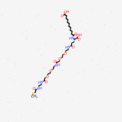 CSCC(=O)NCCNC(=O)COCCOCCNC(=O)COCCOCCNC(=O)CC[C@H](NC(=O)CCCCCCCCCCC(=O)O)C(=O)O